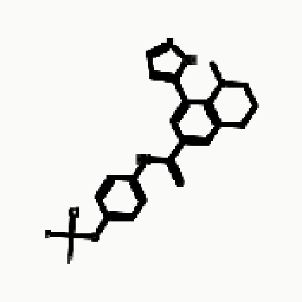 CN1CCCc2cc(C(=O)Nc3ccc(OC(F)(F)Cl)cc3)cc(-c3ccn[nH]3)c21